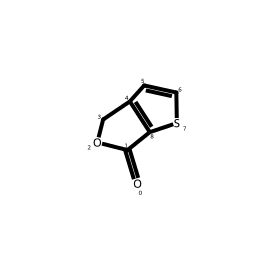 O=C1OCc2ccsc21